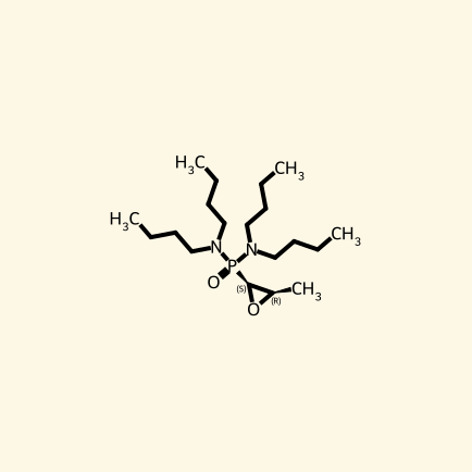 CCCCN(CCCC)P(=O)([C@@H]1O[C@@H]1C)N(CCCC)CCCC